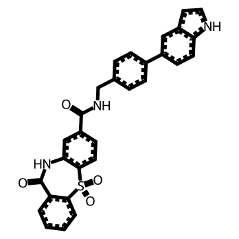 O=C(NCc1ccc(-c2ccc3[nH]ccc3c2)cc1)c1ccc2c(c1)NC(=O)c1ccccc1S2(=O)=O